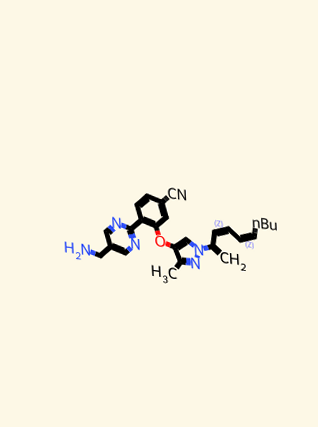 C=C(/C=C\C=C/CCCC)n1cc(Oc2cc(C#N)ccc2-c2ncc(CN)cn2)c(C)n1